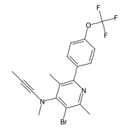 CC#CN(C)c1c(C)c(-c2ccc(OC(F)(F)F)cc2)nc(C)c1Br